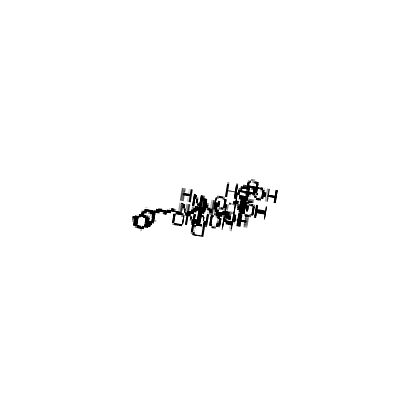 O=C(CCCC1CC2CCCC(C1)C2)Nc1nc(Cl)nc2c1ncn2[C@@H]1O[C@H](CNP(=O)(O)CP(=O)(O)O)C(O)C1O